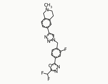 CN1CCc2cc(-c3cn(Cc4ccc(-c5nnc(C(F)F)o5)cc4F)nn3)ccc2C1